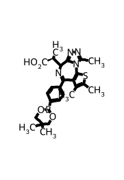 Cc1sc2c(c1C)C(c1ccc(B3OCC(C)(C)CO3)cc1)=NC([C@H](C)C(=O)O)c1nnc(C)n1-2